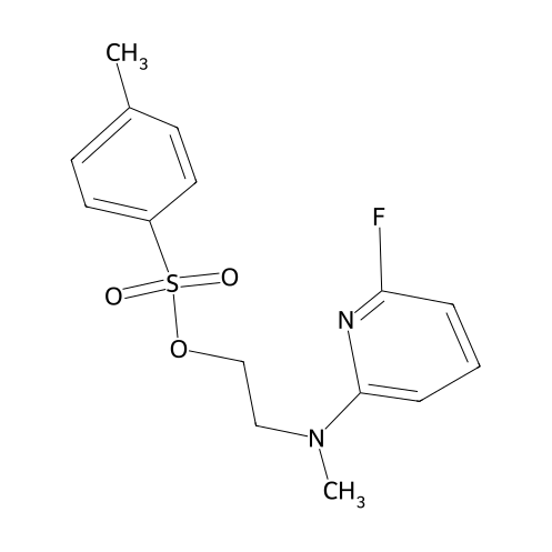 Cc1ccc(S(=O)(=O)OCCN(C)c2cccc(F)n2)cc1